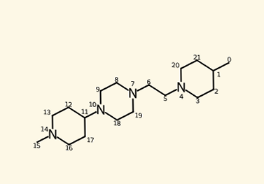 CC1CCN(CCN2CCN(C3CCN(C)CC3)CC2)CC1